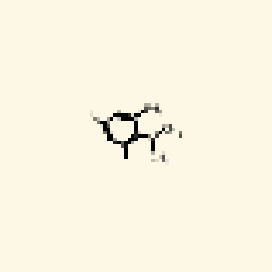 CN(C)c1c(F)cc(F)cc1P